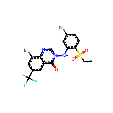 CCS(=O)(=O)c1ccc(Br)cc1Nn1cnc2c(Br)cc(C(F)(F)F)cc2c1=O